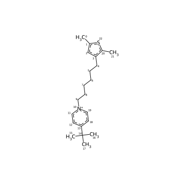 Cc1cc(CCCCCC[n+]2ccc(C(C)(C)C)cc2)c(C)s1